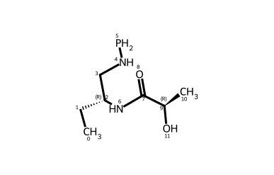 CC[C@H](CNP)NC(=O)[C@@H](C)O